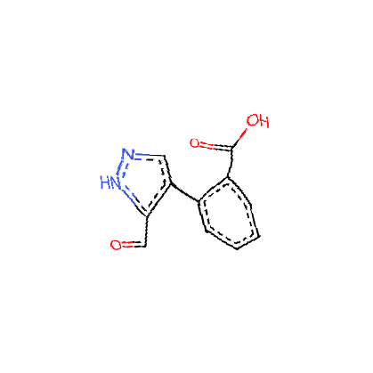 O=Cc1[nH]ncc1-c1ccccc1C(=O)O